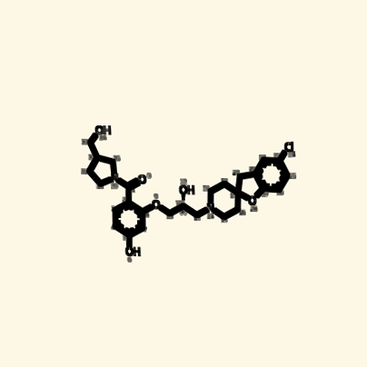 O=C(c1ccc(O)cc1OC[C@H](O)CN1CCC2(CC1)Cc1cc(Cl)ccc1O2)N1CCC(CO)C1